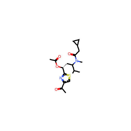 CC(=O)O[C@H](CC(C(C)C)N(C)C(=O)CC1CC1)c1nc(C(C)=O)cs1